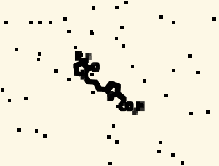 O=C(O)Cc1ccc(CCCN2CCC(F)(F)C2=O)s1